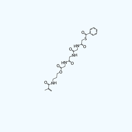 C=C(C)C(=O)NCCCOC(=O)CNC(=O)CNC(=O)CNC(=O)CSC(=O)c1ccccc1